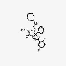 CON(C)C(=O)N1N=C(c2cc(F)ccc2F)OC1(CCCNC1CC=CCC1)c1ccccc1